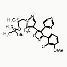 COc1cccc(-c2noc(-c3cnn(C[C@@H](C)O[Si](C)(C)C(C)(C)C)c3C(F)(F)F)c2-c2ccncn2)c1Cl